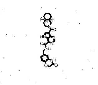 O=C1COc2ccc(CNC(=O)c3ncnc4c(C(=O)N5CC[C@H]6CCCC[C@@H]6C5)c[nH]c34)cc2N1